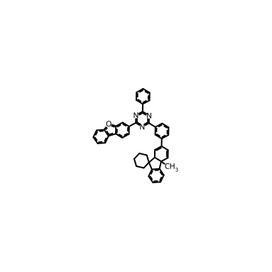 CC12C=CC(c3cccc(-c4nc(-c5ccccc5)nc(-c5ccc6c(c5)oc5ccccc56)n4)c3)=CC1C1(CCCCC1)c1ccccc12